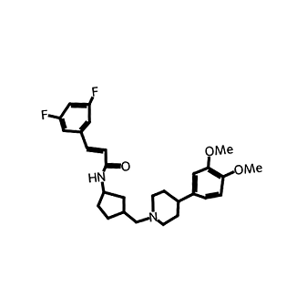 COc1ccc(C2CCN(CC3CCC(NC(=O)/C=C/c4cc(F)cc(F)c4)C3)CC2)cc1OC